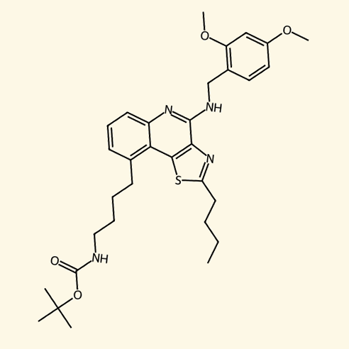 CCCCc1nc2c(NCc3ccc(OC)cc3OC)nc3cccc(CCCCNC(=O)OC(C)(C)C)c3c2s1